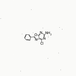 Nc1nc(Cl)c2nc(-c3ccccc3)oc2n1